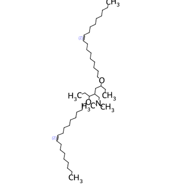 CCCCCCCC/C=C\CCCCCCCCOC(CC)CC(CN(C)C)C(CC)OCCCCCCCC/C=C\CCCCCCCC